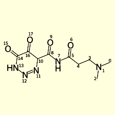 CN(C)CCC(=O)NC(=O)C1N=NNC(=O)C1=O